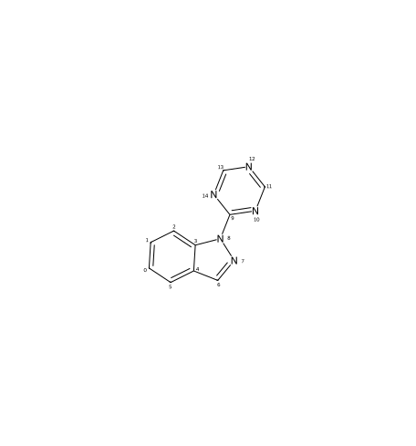 c1ccc2c(c1)cnn2-c1ncncn1